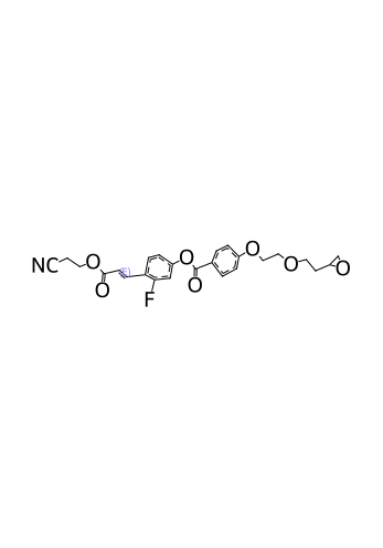 N#CCCOC(=O)/C=C/c1ccc(OC(=O)c2ccc(OCCOCCC3CO3)cc2)cc1F